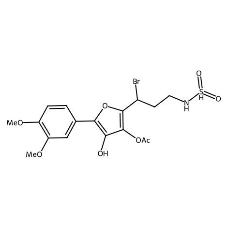 COc1ccc(-c2oc(C(Br)CCN[SH](=O)=O)c(OC(C)=O)c2O)cc1OC